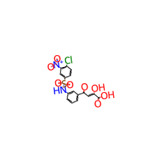 O=C(O)C(O)=CC(=O)c1cccc(NS(=O)(=O)c2ccc(Cl)c([N+](=O)[O-])c2)c1